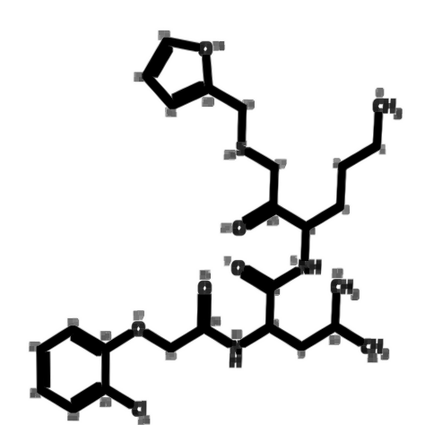 CCCCC(NC(=O)C(CC(C)C)NC(=O)COc1ccccc1Cl)C(=O)CSCc1ccco1